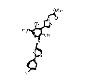 COC(=O)Cn1cc(-c2c(C#N)c(N)nc(SCc3csc(-c4ccc(Cl)cc4)n3)c2C#N)cn1